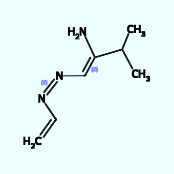 C=C/N=N\C=C(/N)C(C)C